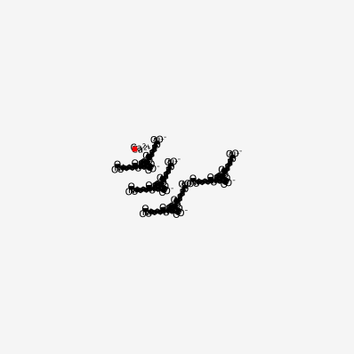 O=C(CCCCO[N+](=O)[O-])Oc1ccc(OC(=O)CCCCO[N+](=O)[O-])c(S(=O)(=O)[O-])c1.O=C(CCCCO[N+](=O)[O-])Oc1ccc(OC(=O)CCCCO[N+](=O)[O-])c(S(=O)(=O)[O-])c1.O=C(CCCCO[N+](=O)[O-])Oc1ccc(OC(=O)CCCCO[N+](=O)[O-])c(S(=O)(=O)[O-])c1.O=C(CCCCO[N+](=O)[O-])Oc1ccc(OC(=O)CCCCO[N+](=O)[O-])c(S(=O)(=O)[O-])c1.[Ca+2].[Ca+2]